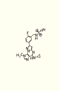 CCCS(=O)(=O)NCc1cc(-c2cc3nc(NC4CC4)c4ncn(C)c4n3n2)ccc1F